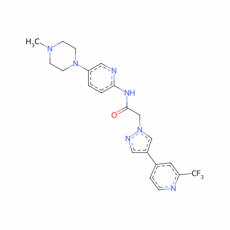 CN1CCN(c2ccc(NC(=O)Cn3cc(-c4ccnc(C(F)(F)F)c4)cn3)nc2)CC1